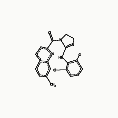 Cc1ccc2ccc(C(=O)N3CCN=C3Nc3c(Cl)cccc3Cl)nc2c1